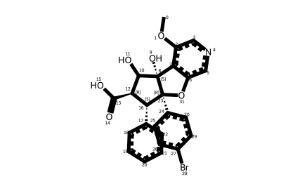 COc1cncc2c1[C@]1(O)C(O)[C@H](C(=O)O)[C@@H](c3ccccc3)[C@]1(c1ccc(Br)cc1)O2